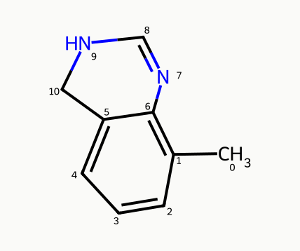 Cc1cccc2c1N=CNC2